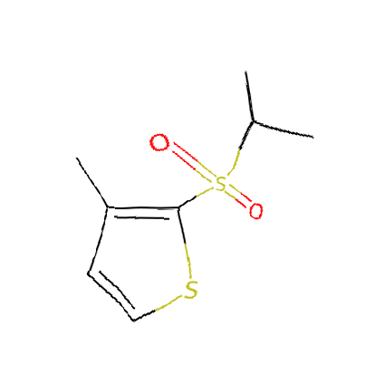 Cc1ccsc1S(=O)(=O)C(C)C